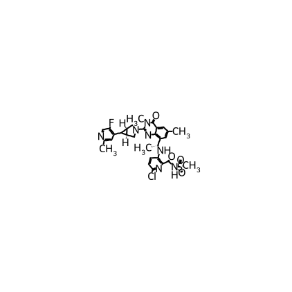 Cc1cc([C@@H](C)Nc2ccc(Cl)nc2C(=O)NS(C)(=O)=O)c2nc(N3C[C@@H]4C(c5cc(C)ncc5F)[C@@H]4C3)n(C)c(=O)c2c1